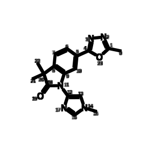 Cc1nnc(-c2ccc3c(c2)N(c2cn(C)cn2)C(=O)C3(C)C)o1